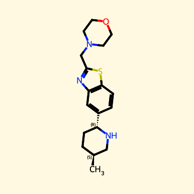 C[C@H]1CC[C@H](c2ccc3sc(CN4CCOCC4)nc3c2)NC1